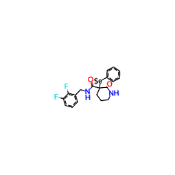 O=C1NCCCC1([Se]c1ccccc1)C(=O)NCc1cccc(F)c1F